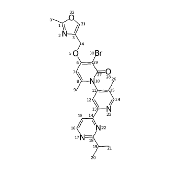 Cc1nc(COc2cc(C)n(-c3cc(-c4ccnc(C(C)C)n4)ncc3C)c(=O)c2Br)co1